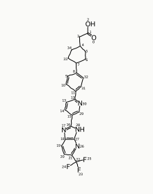 O=C(O)CC1CCC(c2ccc(-c3ccc(-c4nc5ccc(C(F)(F)F)nc5[nH]4)cn3)cc2)CC1